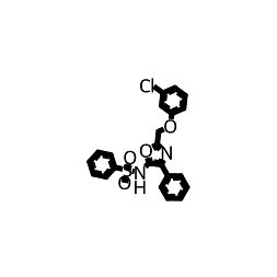 O=S(=O)(Nc1oc(COc2cccc(Cl)c2)nc1-c1ccccc1)c1ccccc1